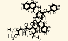 CCC(C)CNC(=O)CC(O)C(CC(C)C)NC(=O)[C@H](Cc1cccnc1)NC(=O)[C@H](Cc1cccc2ccccc12)NC(=O)OCc1ccccc1